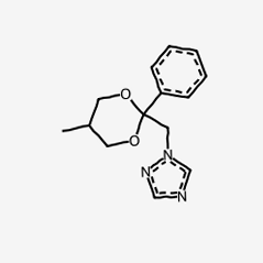 CC1COC(Cn2cncn2)(c2ccccc2)OC1